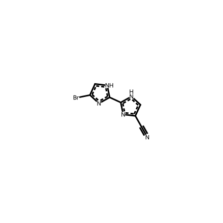 N#Cc1c[nH]c(-c2nc(Br)c[nH]2)n1